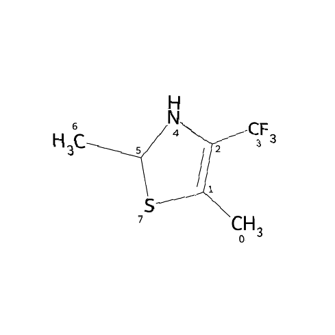 CC1=C(C(F)(F)F)NC(C)S1